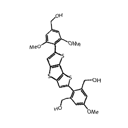 COc1cc(CO)c(-c2cc3sc4cc(-c5c(OC)cc(CO)cc5OC)sc4c3s2)c(CO)c1